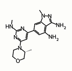 CNc1nc(-c2cc(N)c3c(N)nn(C)c3c2)cc(N2CCOC[C@H]2C)n1